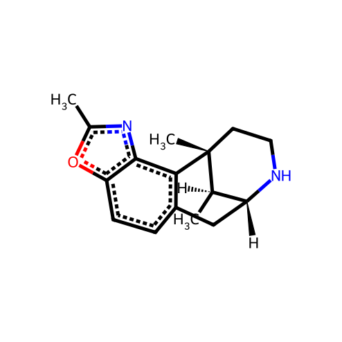 Cc1nc2c3c(ccc2o1)C[C@H]1NCC[C@]3(C)[C@@H]1C